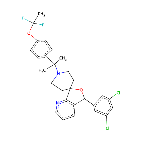 CC(F)(F)Oc1ccc(C(C)(C)N2CCC3(CC2)OC(c2cc(Cl)cc(Cl)c2)c2cccnc23)cc1